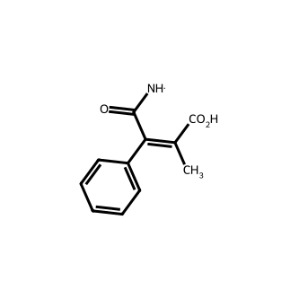 C/C(C(=O)O)=C(/C([NH])=O)c1ccccc1